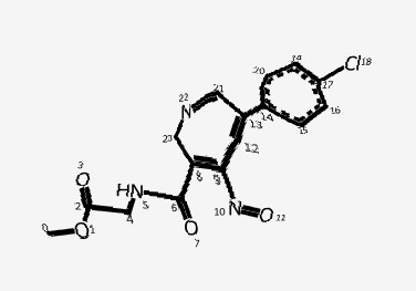 COC(=O)CNC(=O)C1=C(N=O)C=C(c2ccc(Cl)cc2)C=NC1